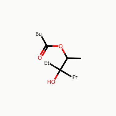 CCC(C)C(=O)OC(C)C(O)(CC)C(C)C